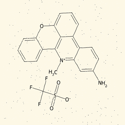 C[n+]1c2c3c(cccc3c3ccc(N)cc31)Oc1ccccc1-2.O=S(=O)([O-])C(F)(F)F